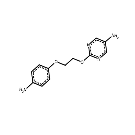 Nc1ccc(OCCOc2ncc(N)cn2)cc1